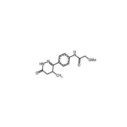 COCC(=O)Nc1ccc(C2=NNC(=O)CC2C)cc1